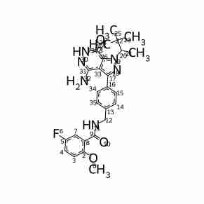 COc1ccc(F)cc1C(=O)NCc1ccc(-c2nn(C(C)C(C)(C)C)c3c(=O)[nH]nc(N)c23)cc1